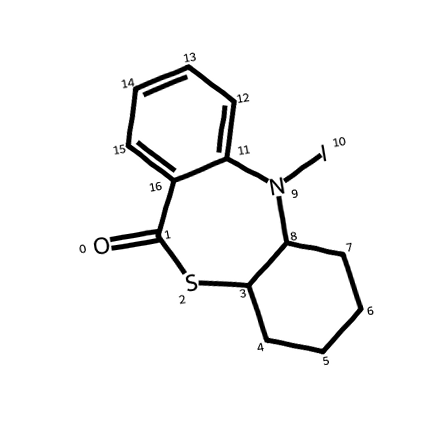 O=C1SC2CCCCC2N(I)c2ccccc21